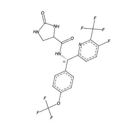 O=C1NCC(C(=O)N[C@@H](c2ccc(OC(F)(F)F)cc2)c2ccc(F)c(C(F)(F)F)n2)N1